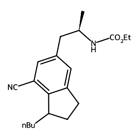 CCCCC1CCc2cc(C[C@@H](C)NC(=O)OCC)cc(C#N)c21